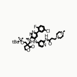 CN1CCN(CCC(=O)Nc2cc(Nc3cc(-c4cc(Cl)ccc4F)nnc3N(C)CC3(CO[Si](C)(C)C(C)(C)C)CCOC3=O)ccn2)CC1